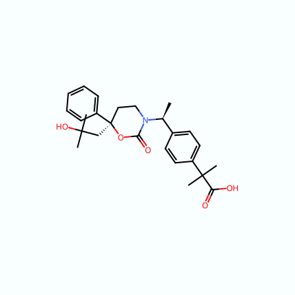 C[C@@H](c1ccc(C(C)(C)C(=O)O)cc1)N1CC[C@](CC(C)(C)O)(c2ccccc2)OC1=O